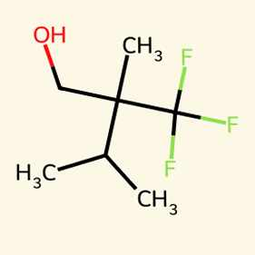 CC(C)C(C)(CO)C(F)(F)F